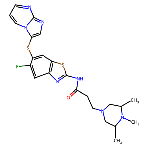 CC1CN(CCC(=O)Nc2nc3cc(F)c(Sc4cnc5ncccn45)cc3s2)CC(C)N1C